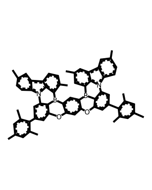 Cc1cc(C)c(-c2cc3c4c(c2)-n2c5ccc(C)cc5c5cc(C)cc(c52)B4c2cc4c(cc2O3)Oc2cc(-c3c(C)cc(C)cc3C)cc3c2B4c2c(C)ccc4c5cc(C)ccc5n-3c24)c(C)c1